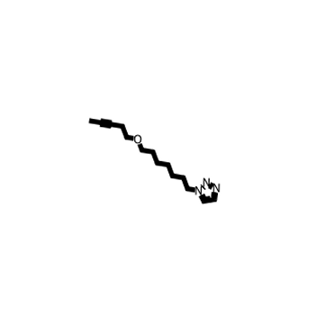 CC#CCCOCCCCCCCn1ccnn1